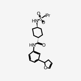 CC(C)S(=O)(=O)N[C@H]1CC[C@H](C(=O)Nc2cccc(C3CC=CO3)c2)CC1